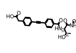 C[C@@H](O)[C@H](NC(=O)c1ccc(C#Cc2ccc(CC(=O)O)cc2)cc1)C(=O)NO